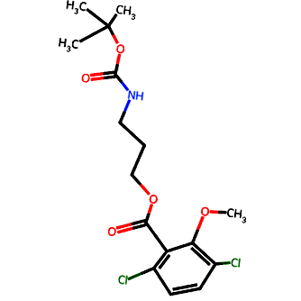 COc1c(Cl)ccc(Cl)c1C(=O)OCCCNC(=O)OC(C)(C)C